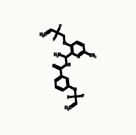 C=CC(F)(F)COc1ccc(C)nc1C(C)NC(=O)c1cccc(OC(F)(F)C=C)c1